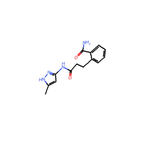 Cc1cc(NC(=O)C[CH]c2ccccc2C(N)=O)n[nH]1